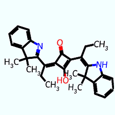 CC/C(C1=Nc2ccccc2C1(C)C)=C1/C(=O)C(C(/CC)=C2/Nc3ccccc3C2(C)C)=C1O